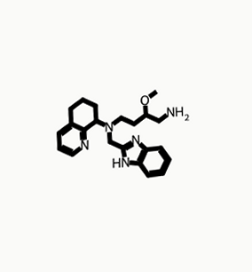 COC(CN)CCN(Cc1nc2c([nH]1)C=C=C=C2)C1CCCc2cccnc21